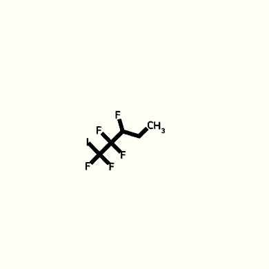 CCC(F)C(F)(F)C(F)(F)I